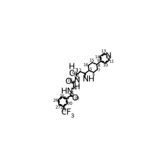 C[C@H](CC(=N)C1CCC(c2ccncc2)CC1)NC(=O)CNC(=O)c1cccc(C(F)(F)F)c1